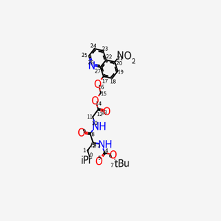 CC(C)C[C@H](NC(=O)OC(C)(C)C)C(=O)NCC(=O)OCOc1ccc([N+](=O)[O-])c2cccnc12